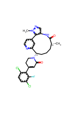 C[C@@H]1CCC[C@H](N2CCC(c3c(Cl)ccc(Cl)c3F)=CC2=O)c2cc(ccn2)-c2c(cnn2C)NC1=O